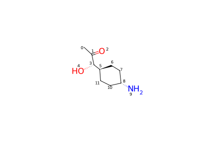 CC(=O)[C@@H](O)[C@H]1CC[C@H](N)CC1